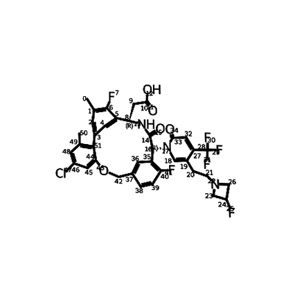 Cc1cc2cc(c1F)[C@@H](CC(=O)O)NC(=O)[C@H](n1cc(CCN3CC(F)C3)c(C(F)(F)F)cc1=O)c1cc(ccc1F)COc1cc(Cl)cc(C)c1-2